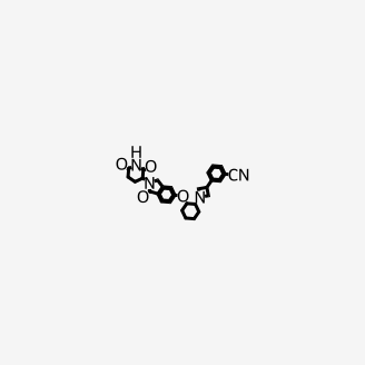 N#Cc1cccc(C2CN([C@H]3CCCC[C@H]3Oc3ccc4c(c3)CN(C3CCC(=O)NC3=O)C4=O)C2)c1